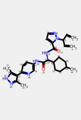 C=CC(C=C)n1nccc1C(=O)N[C@H](C(=O)Nc1ccc(-c2c(C)n[nH]c2C)nc1)C1CCC(C)CC1